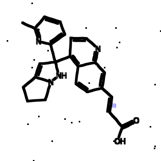 Cc1cccc(C2(c3ccnc4cc(/C=C/C(=O)O)ccc34)C=C3CCCN3N2)n1